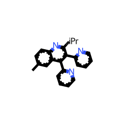 Cc1ccc2nc(C(C)C)c(-c3ccccn3)c(-c3ccccn3)c2c1